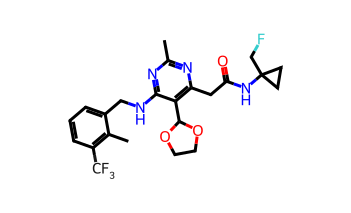 Cc1nc(CC(=O)NC2(CF)CC2)c(C2OCCO2)c(NCc2cccc(C(F)(F)F)c2C)n1